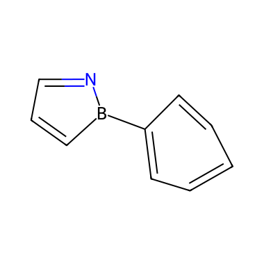 C1=CB(c2ccccc2)N=C1